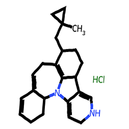 CC1(CC2CCC3C4=CNCC=C4N4C3=C2CC=C2C=CCCC24)CC1.Cl